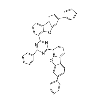 c1ccc(-c2ccc3c(c2)oc2c(-c4nc(-c5ccccc5)nc(-c5cccc6c5oc5cc(-c7ccccc7)ccc56)n4)cccc23)cc1